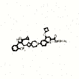 CC(=O)NNC(=O)c1cc(OC2CCC2)c2cc(N3CCC4(CC3)CC(Cc3c(-c5ccccc5C(F)(F)F)noc3C3CC3)C4)ccc2n1